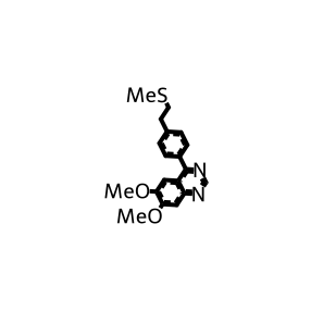 COc1cc2ncnc(-c3ccc(CCSC)cc3)c2cc1OC